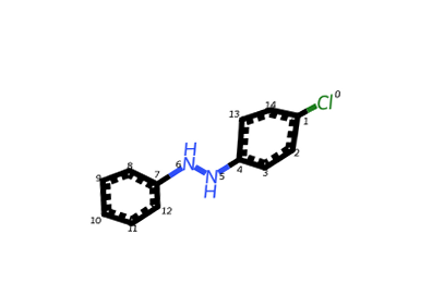 Clc1ccc(NNc2ccccc2)cc1